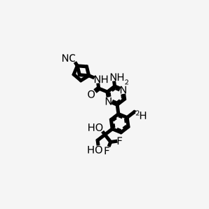 [2H]Cc1ccc(C(O)(CO)C(F)F)cc1-c1cnc(N)c(C(=O)NC23CCC(C#N)(C2)C3)n1